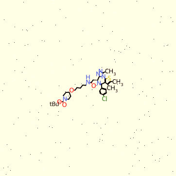 Cc1sc2c(c1C)C(c1ccc(Cl)cc1)=N[C@@H](CC(=O)NCCCCCOC1CCN(C(=O)OC(C)(C)C)CC1)c1nnc(C)n1-2